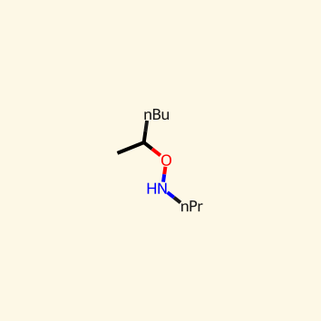 CCCCC(C)ONCCC